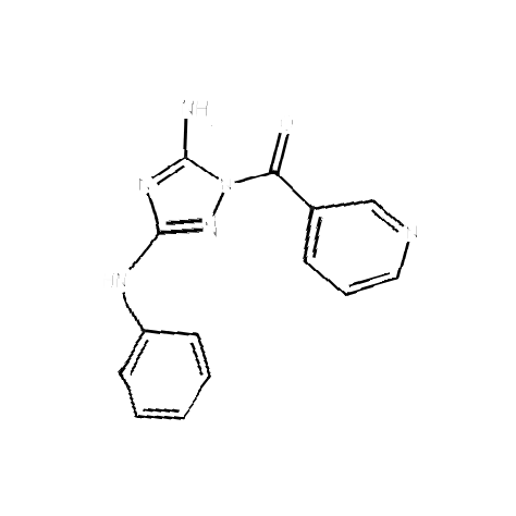 Nc1nc(Nc2ccccc2)nn1C(=O)c1cccnc1